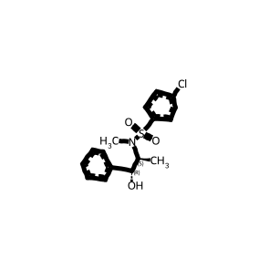 C[C@@H]([C@H](O)c1ccccc1)N(C)S(=O)(=O)c1ccc(Cl)cc1